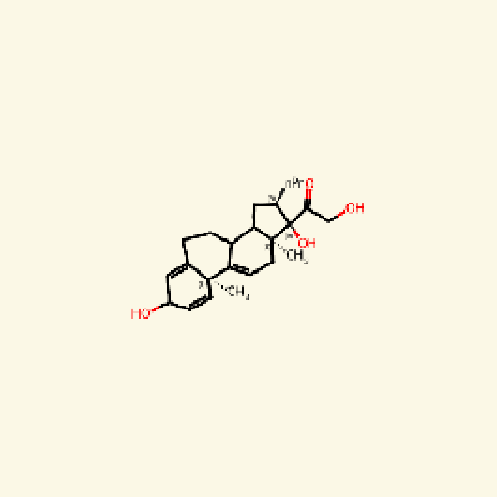 CCC[C@@H]1CC2C3CCC4=CC(O)C=C[C@]4(C)C3=CC[C@]2(C)[C@@]1(O)C(=O)CO